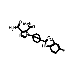 CNC(=O)c1c(C(N)=O)ncn1C12CCC(C(=O)Nc3ccc(F)cc3Cl)(CC1)CC2